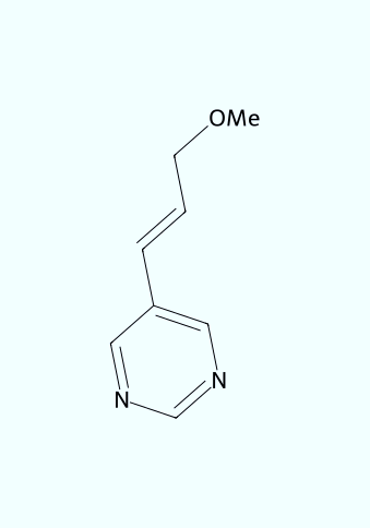 COC/C=C/c1cncnc1